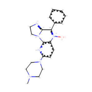 CN1CCN(c2ccc3c(n2)N2CCN=C2C(c2ccccc2)=[N+]3O)CC1